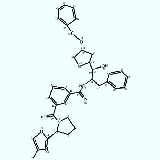 Cc1coc([C@@H]2CCCN2C(=O)c2cccc(C(=O)NC(Cc3ccccc3)[C@H](O)C3C[C@@H](OCc4ccccc4)CN3)c2)n1